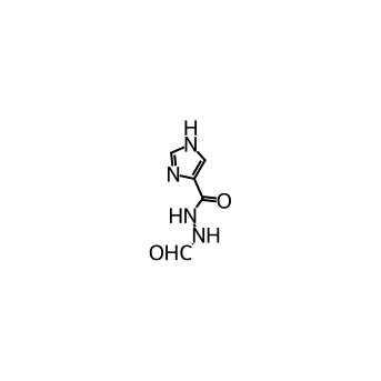 O=CNNC(=O)c1c[nH]cn1